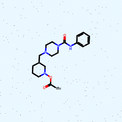 CC(C)(C)C(=O)ON1CCCC(CN2CCN(C(=O)Nc3ccccc3)CC2)C1